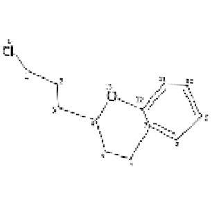 ClCCCC1CCc2ccccc2O1